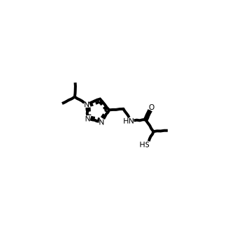 CC(S)C(=O)NCc1cn(C(C)C)nn1